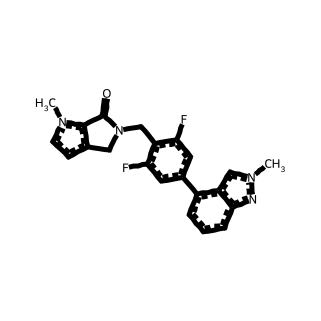 Cn1cc2c(-c3cc(F)c(CN4Cc5ccn(C)c5C4=O)c(F)c3)cccc2n1